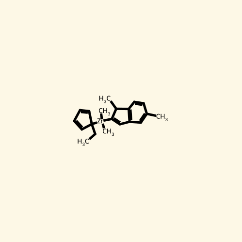 CC[C]1([Zr]([CH3])([CH3])[C]2=Cc3cc(C)ccc3C2C)C=CC=C1